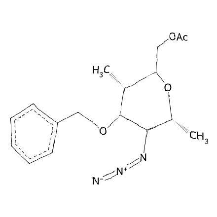 CC(=O)OCC1O[C@H](C)C(N=[N+]=[N-])C(OCc2ccccc2)[C@@H]1C